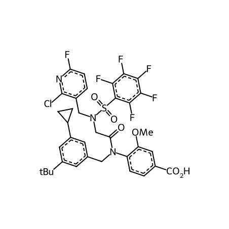 COc1cc(C(=O)O)ccc1N(Cc1cc(C2CC2)cc(C(C)(C)C)c1)C(=O)CN(Cc1ccc(F)nc1Cl)S(=O)(=O)c1c(F)c(F)c(F)c(F)c1F